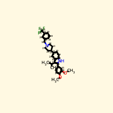 COc1ccc(-c2[nH]c3ccc(C4CCN(Cc5cccc(C(F)(F)F)c5)CC4)cc3c2C(C)C)cc1OC